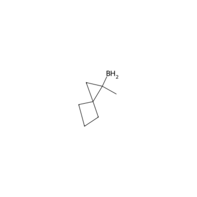 BC1(C)CC12CCC2